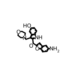 Nc1ccc2oc(C(=O)c3[nH]c4ccc(O)cc4c3CN3CCOCC3)cc2c1